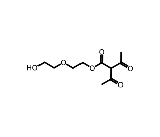 CC(=O)C(C(C)=O)C(=O)OCCOCCO